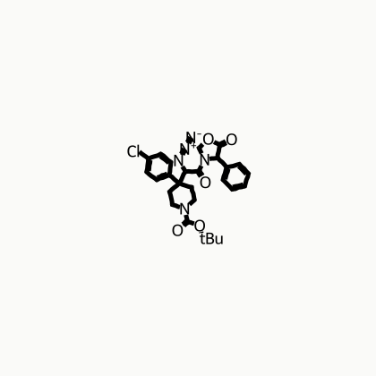 CC(C)(C)OC(=O)N1CCC(c2ccc(Cl)cc2)(C(N=[N+]=[N-])C(=O)N2COC(=O)C2c2ccccc2)CC1